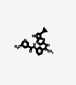 Cc1cncc(C(=O)Nc2cccc([C@H](C)Nc3cnc4[nH]cc(C5CC5)c4n3)c2)c1